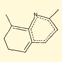 CC1=c2nc(C)ccc2=CCC1